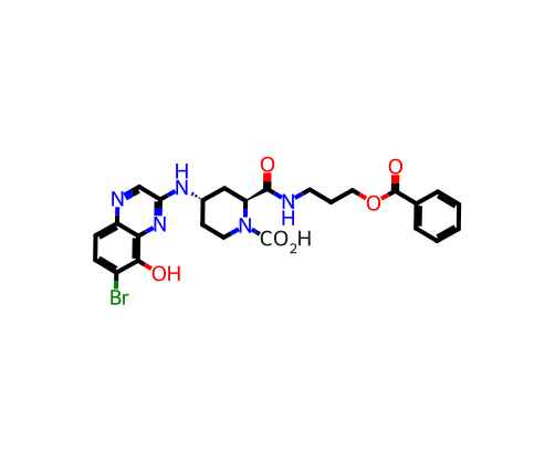 O=C(OCCCNC(=O)[C@@H]1C[C@@H](Nc2cnc3ccc(Br)c(O)c3n2)CCN1C(=O)O)c1ccccc1